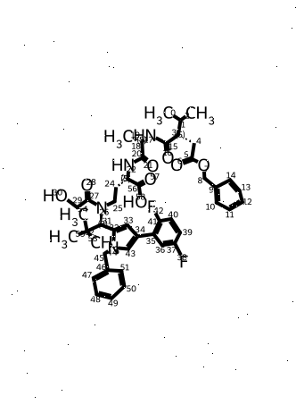 CC(C)[C@H](CC(=O)OCc1ccccc1)C(=O)N[C@@H](C)C(=O)N[C@@H](CCN(C(=O)CO)[C@@H](c1cc(-c2cc(F)ccc2F)cn1Cc1ccccc1)C(C)(C)C)C(=O)O